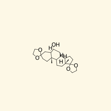 C[C@@]12CCC3(C[C@H]1[C@H](O)C[C@H]1[C@H]2CC[C@]2(C)[C@@H]1CCC21OCCO1)OCCO3